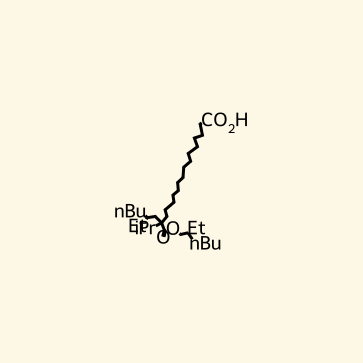 CCCCC(CC)COC(=O)C(CCCCCCCCCCCCCCC(=O)O)(CC(CC)CCCC)C(C)C